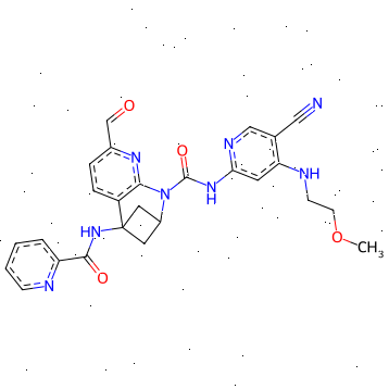 COCCNc1cc(NC(=O)N2c3nc(C=O)ccc3C3(NC(=O)c4ccccn4)CC2C3)ncc1C#N